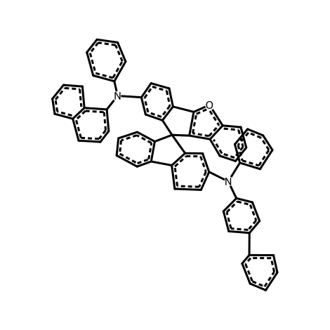 c1ccc(-c2ccc(N(c3ccccc3)c3ccc4c(c3)C3(c5ccccc5-4)c4cc(N(c5ccccc5)c5cccc6ccccc56)ccc4-c4oc5ccccc5c43)cc2)cc1